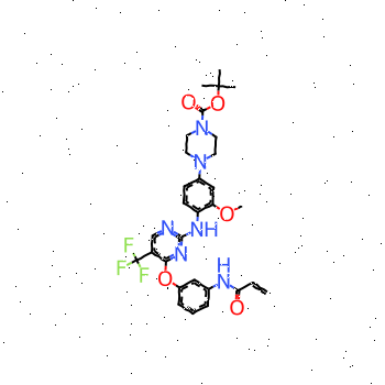 C=CC(=O)Nc1cccc(Oc2nc(Nc3ccc(N4CCN(C(=O)OC(C)(C)C)CC4)cc3OC)ncc2C(F)(F)F)c1